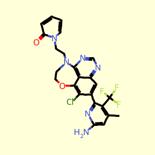 Cc1cc(N)nc(-c2cc3ncnc4c3c(c2Cl)OCCN4CCn2ccccc2=O)c1C(F)(F)F